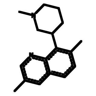 Cc1cnc2c(C3CCCN(C)C3)c(C)ccc2c1